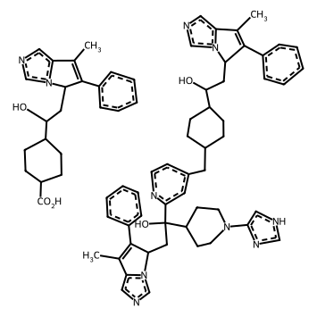 CC1=C(c2ccccc2)C(CC(O)C2CCC(C(=O)O)CC2)n2cncc21.CC1=C(c2ccccc2)C(CC(O)C2CCC(Cc3ccnc(C(O)(CC4C(c5ccccc5)=C(C)c5cncn54)C4CCN(c5c[nH]cn5)CC4)c3)CC2)n2cncc21